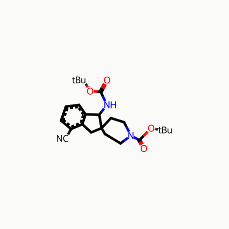 CC(C)(C)OC(=O)NC1c2cccc(C#N)c2CC12CCN(C(=O)OC(C)(C)C)CC2